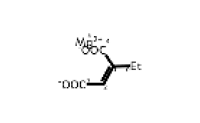 CCC(=CC(=O)[O-])C(=O)[O-].[Mg+2]